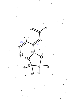 C=C(C)/C=C(\C=C/CC)B1OC(C)(C)C(C)(C)O1